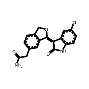 NC(=O)Cc1ccc2c(c1)C(=C1C(=O)Nc3ccc(Cl)cc31)OC2